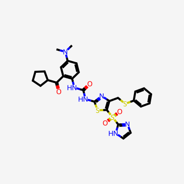 CN(C)c1ccc(NC(=O)Nc2nc(CSc3ccccc3)c(S(=O)(=O)c3ncc[nH]3)s2)c(C(=O)C2CCCC2)c1